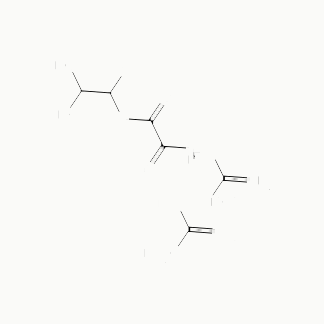 C=C(C)C(=O)O.C=C(C)C(=O)O.C=C(C)C(=O)OC(O)C(O)O